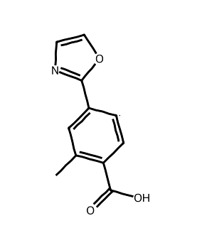 Cc1cc(-c2ncco2)[c]cc1C(=O)O